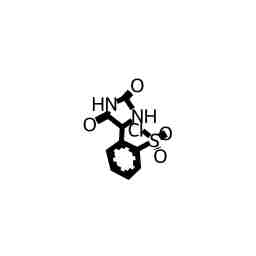 O=C1NC(=O)C(c2ccccc2S(=O)(=O)Cl)N1